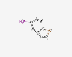 Pc1ccc2sccc2c1